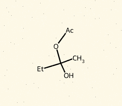 CCC(C)(O)OC(C)=O